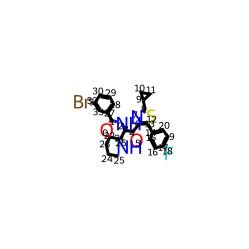 O=C(NC(C(=O)c1nc(C2CC2)sc1-c1ccc(F)cc1)C1CCCCN1)c1cccc(Br)c1